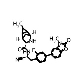 CC1C2C1[C@H]1C[C@@H]2N[C@@H]1C(=O)N[C@H](C#N)Cc1ccc(-c2ccc3oc(=O)n(C)c3c2)cc1F